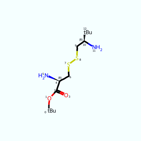 CC(C)(C)OC(=O)[C@@H](N)CSSC[C@H](N)C(C)(C)C